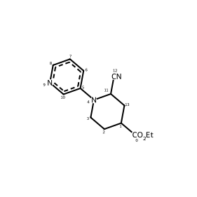 CCOC(=O)C1CCN(c2cccnc2)C(C#N)C1